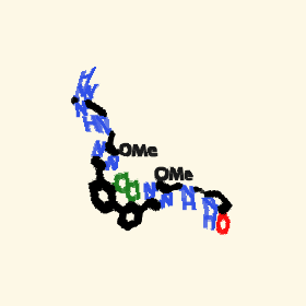 COc1nc(-c2cccc(-c3cccc(-c4cnc(CNC[C@@H]5CCC(=O)N5)c(OC)n4)c3Cl)c2Cl)cnc1CNCc1nc[nH]n1